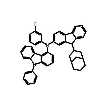 Fc1cccc(N(c2ccc3c(c2)C(C2CC4CCCC(C4)C2)c2ccccc2-3)c2cccc3c2c2ccccc2n3-c2ccccc2)c1